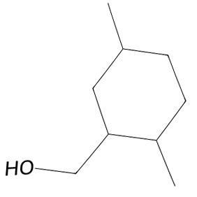 CC1CCC(C)C(CO)C1